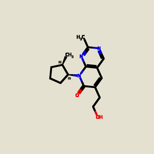 Cc1ncc2cc(CCO)c(=O)n([C@H]3CCC[C@H]3C)c2n1